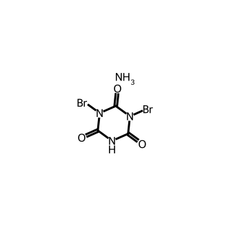 N.O=c1[nH]c(=O)n(Br)c(=O)n1Br